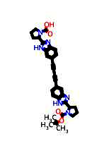 CC(C)(C)OC(=O)N1CCCC1c1nc2cc(C#CC#Cc3ccc4nc(C5CCCN5C(=O)O)[nH]c4c3)ccc2[nH]1